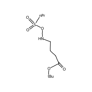 CCCS(=O)(=O)ONCCCC(=O)OC(C)(C)C